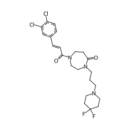 O=C(/C=C/c1ccc(Cl)c(Cl)c1)N1CCC(=O)N(CCCN2CCC(F)(F)CC2)CC1